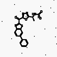 C[C@H](N[SH](=O)=O)c1nnc(C(=O)c2nc3ccc(-c4ccccc4)cc3s2)o1